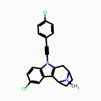 CN1C2CCC1c1c(n(C#Cc3ccc(Cl)cc3)c3ccc(Cl)cc13)C2